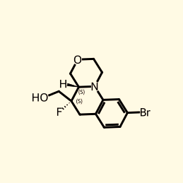 OC[C@]1(F)Cc2ccc(Br)cc2N2CCOC[C@H]21